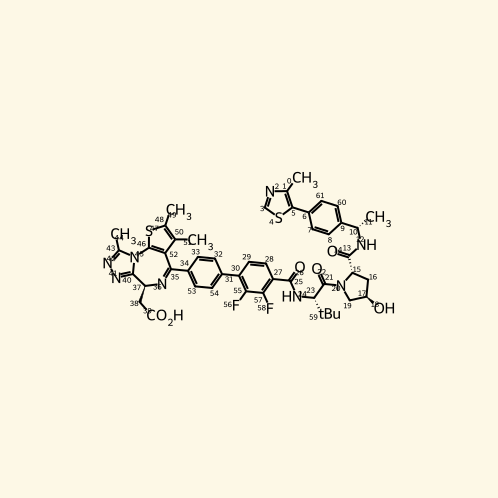 Cc1ncsc1-c1ccc([C@H](C)NC(=O)[C@@H]2C[C@@H](O)CN2C(=O)[C@@H](NC(=O)c2ccc(-c3ccc(C4=N[C@@H](CC(=O)O)c5nnc(C)n5-c5sc(C)c(C)c54)cc3)c(F)c2F)C(C)(C)C)cc1